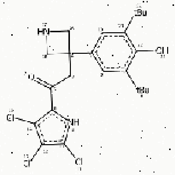 CC(C)(C)c1cc(C2(CC(=O)c3[nH]c(Cl)c(Cl)c3Cl)CNC2)cc(C(C)(C)C)c1O